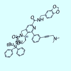 CN(C)CC#Cc1cccc(-c2nc(C(=O)NCc3ccc4c(c3)OCO4)cc3c2[C@@H](CCO[Si](c2ccccc2)(c2ccccc2)C(C)(C)C)N([S@+]([O-])C(C)(C)C)C3)c1